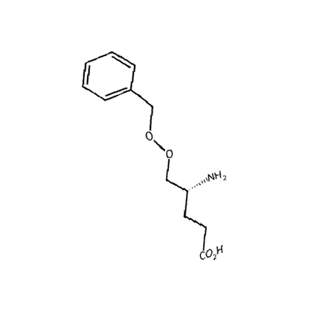 N[C@H](CCC(=O)O)COOCc1ccccc1